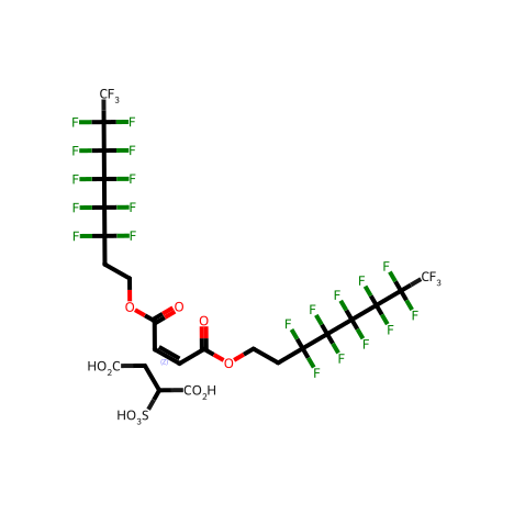 O=C(/C=C\C(=O)OCCC(F)(F)C(F)(F)C(F)(F)C(F)(F)C(F)(F)C(F)(F)F)OCCC(F)(F)C(F)(F)C(F)(F)C(F)(F)C(F)(F)C(F)(F)F.O=C(O)CC(C(=O)O)S(=O)(=O)O